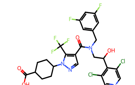 O=C(O)C1CCC(n2ncc(C(=O)N(Cc3cc(F)cc(F)c3)CC(O)c3c(Cl)cncc3Cl)c2C(F)(F)F)CC1